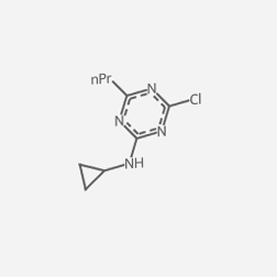 CCCc1nc(Cl)nc(NC2CC2)n1